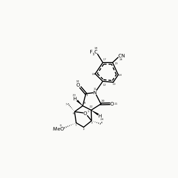 CO[C@H]1C[C@@]2(C)O[C@]1(C)[C@@H]1C(=O)N(c3ccc(C#N)c(C(F)(F)F)c3)C(=O)[C@@H]12